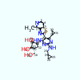 Cc1nccc2sc(-c3c(N[C@@H]4C[C@H](CO)[C@@H](O)[C@H]4O)nc(NCC4CC4)nc3C3CC3)nc12